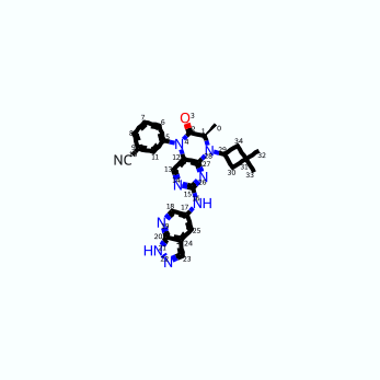 C[C@@H]1C(=O)N(c2cccc(C#N)c2)c2cnc(Nc3cnc4[nH]ncc4c3)nc2N1C1CC(C)(C)C1